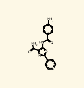 NC(=O)c1nc(-c2ccncc2)sc1NC(=O)c1ccc(N)cc1